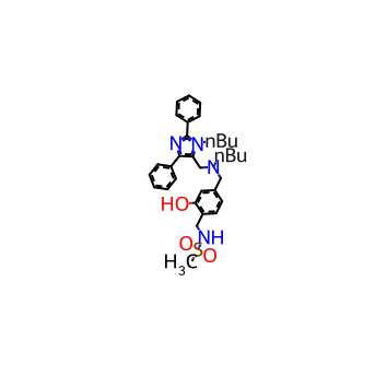 CCCCN(Cc1ccc(CNS(C)(=O)=O)c(O)c1)Cc1c(-c2ccccc2)nc(-c2ccccc2)n1CCCC